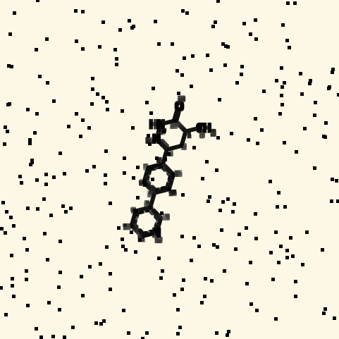 CC1CC(c2ccc(-c3cccnc3)cc2)=NNC1=O